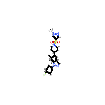 CCCn1cc(S(=O)(=O)N2CC[C](c3cc4cnn(-c5ccc(F)cc5)c4cc3C)CC2)cn1